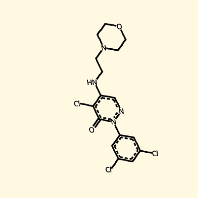 O=c1c(Cl)c(NCCN2CCOCC2)cnn1-c1cc(Cl)cc(Cl)c1